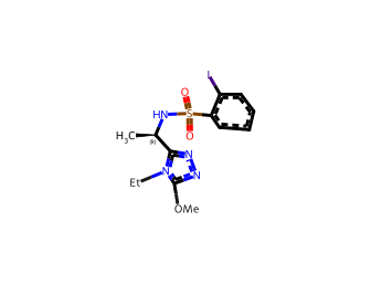 CCn1c(OC)nnc1[C@@H](C)NS(=O)(=O)c1ccccc1I